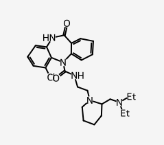 CCN(CC)CC1CCCCN1CCNC(=O)N1c2ccccc2C(=O)Nc2cccc(Cl)c21